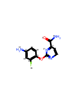 NC(=O)c1ccnc(Oc2ccc(N)cc2F)n1